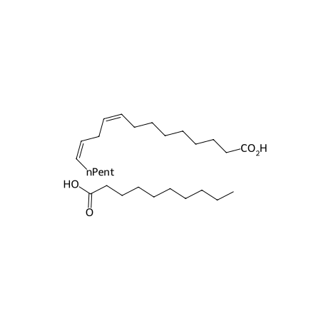 CCCCC/C=C\C/C=C\CCCCCCCC(=O)O.CCCCCCCCCC(=O)O